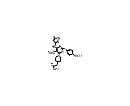 COC(=O)CC1CCN(c2nc(Sc3ccc(NC(C)=O)cc3)nc(Nc3cc(C)[nH]n3)c2OC)CC1